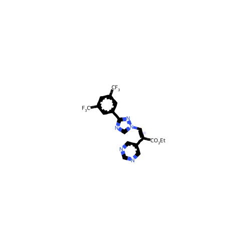 CCOC(=O)/C(=C/n1cnc(-c2cc(C(F)(F)F)cc(C(F)(F)F)c2)n1)c1cncnc1